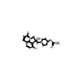 O=C(O)NC1CCN(CC2(O)Cn3c(=O)ccc4ccc(F)c2c43)CC1